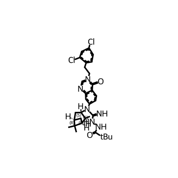 C[C@@H]1[C@@H](N(C(=N)NNC(=O)C(C)(C)C)c2ccc3c(=O)n(CCc4ccc(Cl)cc4Cl)cnc3c2)C[C@H]2C[C@@H]1C2(C)C